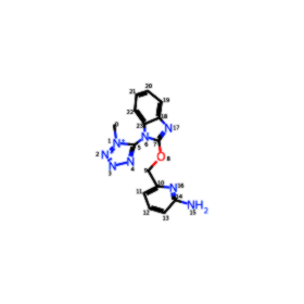 C[N+]1=[N+]=NN=C1n1c(OCc2cccc(N)n2)nc2ccccc21